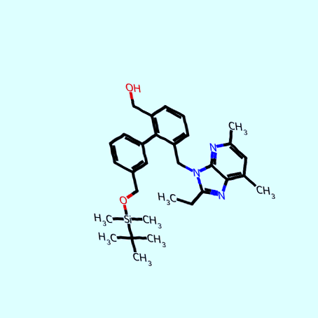 CCc1nc2c(C)cc(C)nc2n1Cc1cccc(CO)c1-c1cccc(CO[Si](C)(C)C(C)(C)C)c1